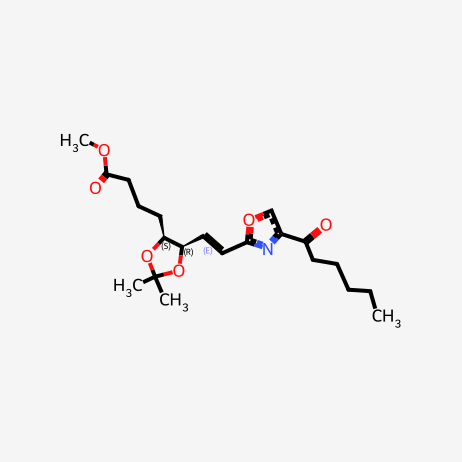 CCCCCC(=O)c1coc(/C=C/[C@H]2OC(C)(C)O[C@H]2CCCC(=O)OC)n1